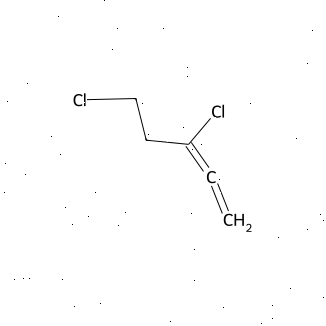 C=C=C(Cl)CCCl